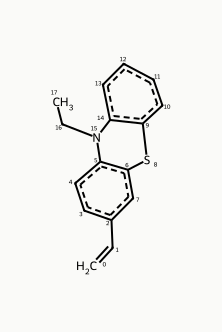 C=Cc1ccc2c(c1)Sc1ccccc1N2CC